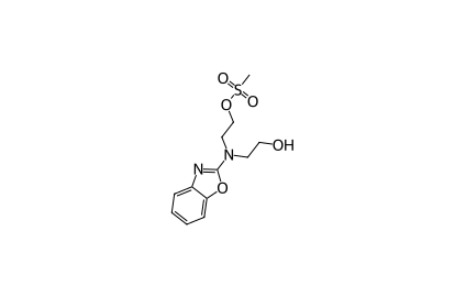 CS(=O)(=O)OCCN(CCO)c1nc2ccccc2o1